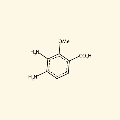 COc1c(C(=O)O)ccc(N)c1N